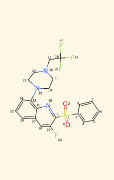 O=S(=O)(c1ccccc1)c1nc2c(N3CCN(CC(F)(F)F)CC3)cccc2cc1F